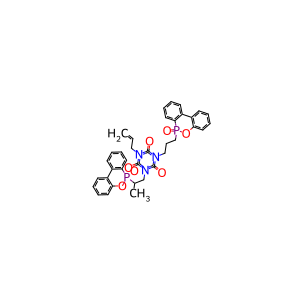 C=CCn1c(=O)n(CCCP2(=O)Oc3ccccc3-c3ccccc32)c(=O)n(CC(C)P2(=O)Oc3ccccc3-c3ccccc32)c1=O